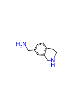 NCc1ccc2c(c1)CNCC2